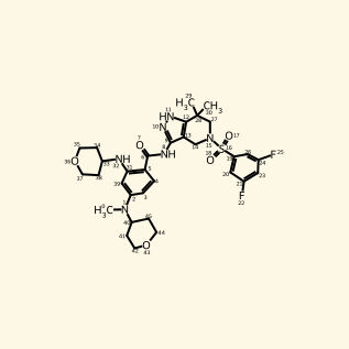 CN(c1ccc(C(=O)Nc2n[nH]c3c2CN(S(=O)(=O)c2cc(F)cc(F)c2)CC3(C)C)c(NC2CCOCC2)c1)C1CCOCC1